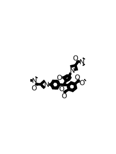 COC(=O)c1ccc2c(c1)C1(OC2=O)c2ccc(N3CC(C(=O)N(C)C)C3)cc2Oc2cc(N3CC(C(=O)N(C)C)C3)ccc21